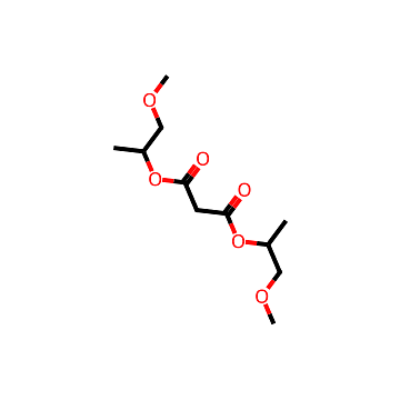 COCC(C)OC(=O)CC(=O)OC(C)COC